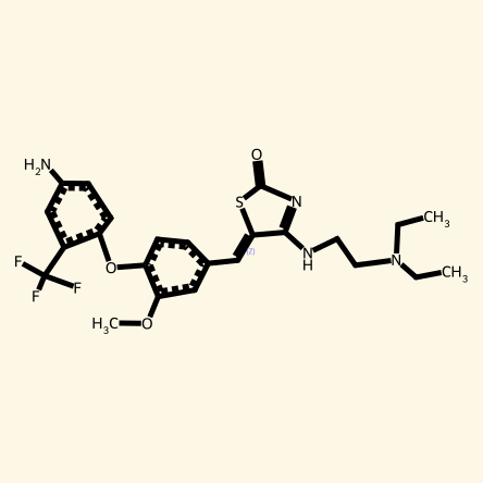 CCN(CC)CCNC1=NC(=O)S/C1=C\c1ccc(Oc2ccc(N)cc2C(F)(F)F)c(OC)c1